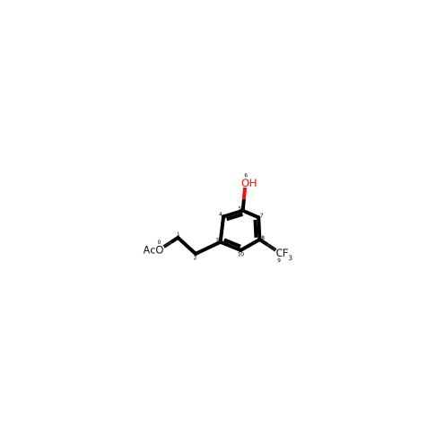 CC(=O)OCCc1cc(O)cc(C(F)(F)F)c1